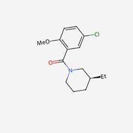 CC[C@H]1CCCN(C(=O)c2cc(Cl)ccc2OC)C1